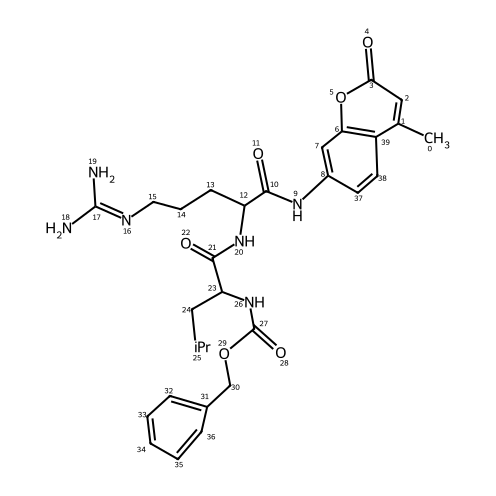 Cc1cc(=O)oc2cc(NC(=O)C(CCCN=C(N)N)NC(=O)C(CC(C)C)NC(=O)OCc3ccccc3)ccc12